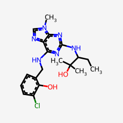 CCC(Nc1nc(NCc2cccc(Cl)c2O)c2ncn(C)c2n1)C(C)(C)O